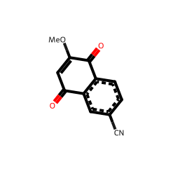 COC1=CC(=O)c2cc(C#N)ccc2C1=O